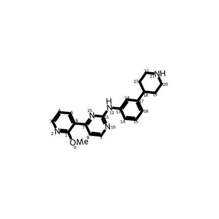 COc1ncccc1-c1ccnc(Nc2cccc(C3CCNCC3)c2)n1